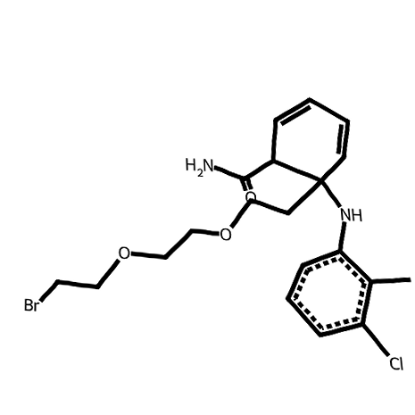 Cc1c(Cl)cccc1NC1(CCOCCOCCBr)C=CC=CC1C(N)=O